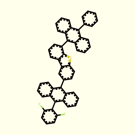 Fc1cccc(F)c1-c1c2ccccc2c(-c2ccc3sc4c(-c5c6ccccc6c(-c6ccccc6)c6ccccc56)cccc4c3c2)c2ccccc12